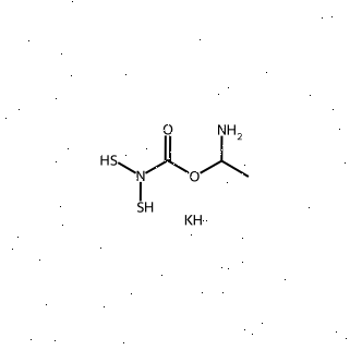 CC(N)OC(=O)N(S)S.[KH]